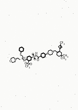 CC1(C)CCC(CN2CCN(c3ccc(C(=O)NS(=O)(=O)c4ccc(N[C@H](CCN5CCOCC5)CSc5ccccc5)c(S(=O)(=O)C(F)(F)F)c4)cc3)CC2)=C(C23CC(C(F)(F)F)(C2)C3)C1